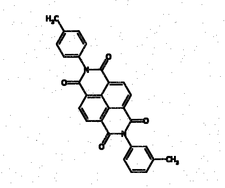 Cc1ccc(N2C(=O)c3ccc4c5c(ccc(c35)C2=O)C(=O)N(c2cccc(C)c2)C4=O)cc1